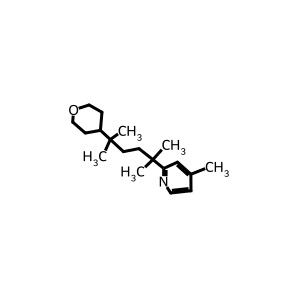 Cc1ccnc(C(C)(C)CCC(C)(C)C2CCOCC2)c1